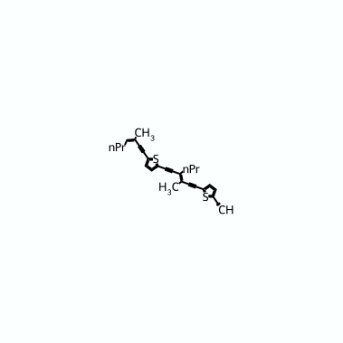 C#Cc1ccc(C#C/C(C)=C(/C#Cc2ccc(C#C/C(C)=C\CCC)s2)CCC)s1